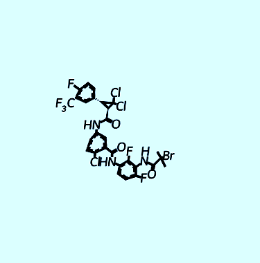 CC(C)(Br)C(=O)Nc1c(F)ccc(NC(=O)c2cc(NC(=O)[C@H]3[C@H](c4ccc(F)c(C(F)(F)F)c4)C3(Cl)Cl)ccc2Cl)c1F